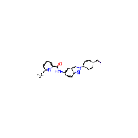 O=C(Nc1ccc2nn(C3CCC(CI)CC3)cc2c1)c1cccc(C(F)(F)F)n1